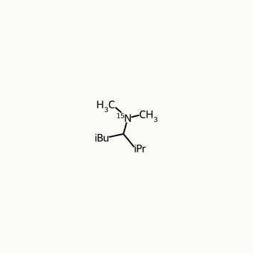 CCC(C)C(C(C)C)[15N](C)C